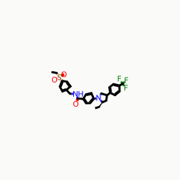 CC[C@@H]1CC(c2ccc(C(F)(F)F)cc2)CN1c1ccc(C(=O)NCc2ccc(S(=O)(=O)CC)cc2)cc1